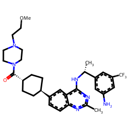 COCCN1CCN(C(=O)[C@H]2CC[C@H](c3ccc4nc(C)nc(N[C@H](C)c5cc(N)cc(C(F)(F)F)c5)c4c3)CC2)CC1